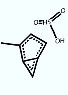 Cc1ccc2cc1-2.O=[SH](=O)O